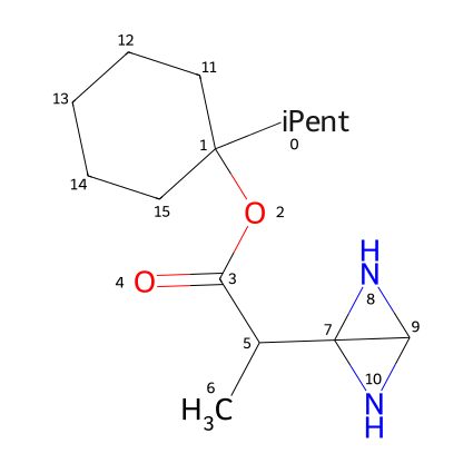 CCCC(C)C1(OC(=O)C(C)C23NC2N3)CCCCC1